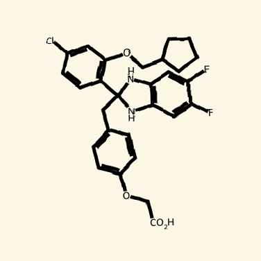 O=C(O)COc1ccc(CC2(c3ccc(Cl)cc3OCC3CCCC3)Nc3cc(F)c(F)cc3N2)cc1